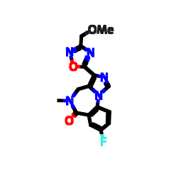 COCc1noc(-c2ncn3c2CN(C)C(=O)c2cc(F)ccc2-3)n1